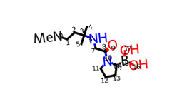 CNCCC(C)(C)NCC(=O)N1CCC[C@H]1B(O)O